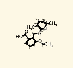 CCOc1cccc(C(=O)O)c1COc1nc(C)ccc1C